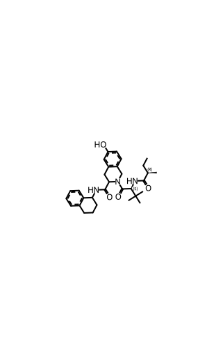 CC[C@@H](C)C(=O)N[C@H](C(=O)N1Cc2ccc(O)cc2CC1C(=O)NC1CCCc2ccccc21)C(C)(C)C